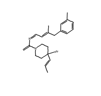 C=C(/N=C\C=C(/C)Cc1cccc(C)c1)N1CCC(/C=C/C)(CCC)CC1